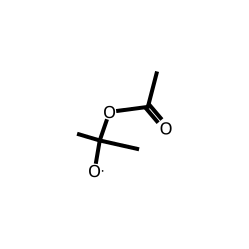 CC(=O)OC(C)(C)[O]